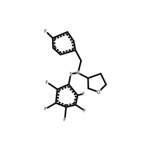 Fc1ccc(CN(Sc2c(F)c(F)c(F)c(F)c2F)C2CCOC2)cc1